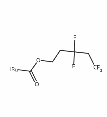 CCC(C)C(=O)OCCC(F)(F)CC(F)(F)F